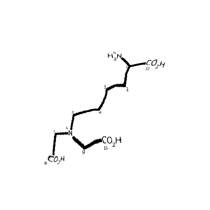 NC(CCCCN(CC(=O)O)CC(=O)O)C(=O)O